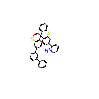 C1=CCNC(c2ccc3c(c2)Sc2ccccc2C32c3ccccc3Sc3cc(-c4cccc(-c5ccccc5)c4)ccc32)=C1